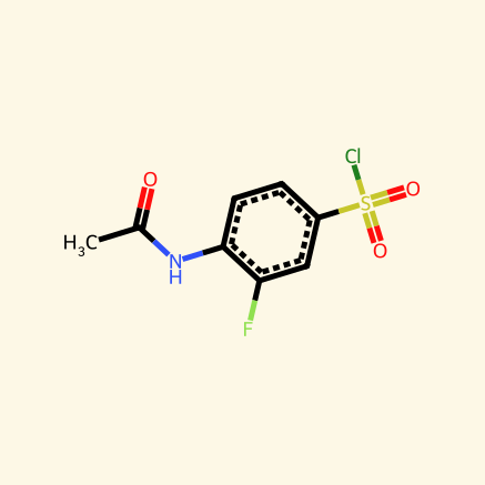 CC(=O)Nc1ccc(S(=O)(=O)Cl)cc1F